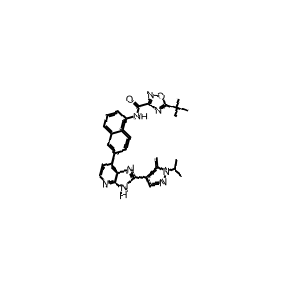 Cc1c(-c2nc3c(-c4ccc5c(NC(=O)c6noc(C(C)(C)C)n6)cccc5c4)ccnc3[nH]2)cnn1C(C)C